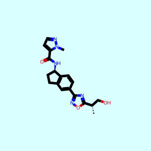 C[C@@H](CO)c1nc(-c2ccc3c(c2)CC[C@H]3NC(=O)c2ccnn2C)no1